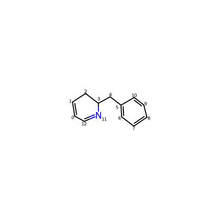 C1=CCC(Cc2ccccc2)N=C1